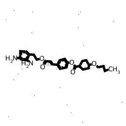 CCCCOC1CCC(C(=O)Oc2ccc(/C=C/C(=O)OCCc3ccc(N)cc3N)cc2)CC1